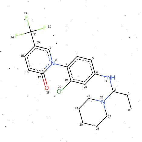 CCC(Nc1ccc(-n2cc(C(F)(F)F)ccc2=O)c(Cl)c1)N1CCCCC1